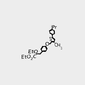 CCOC(=O)C(Cc1ccc(OCc2sc(-c3ccc(C(C)C)cc3)cc2C)cc1)OCC